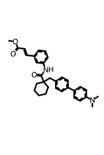 COC(=O)/C=C/c1cccc(NC(=O)C2(Cc3ccc(-c4ccc(N(C)C)cc4)cc3)CCCCC2)c1